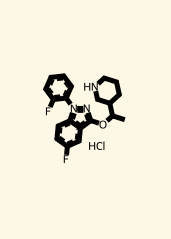 CC(Oc1nn(-c2ccccc2F)c2ccc(F)cc12)C1CCCNC1.Cl